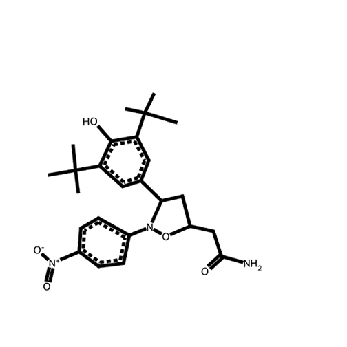 CC(C)(C)c1cc(C2CC(CC(N)=O)ON2c2ccc([N+](=O)[O-])cc2)cc(C(C)(C)C)c1O